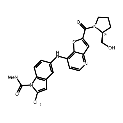 CNC(=O)n1c(C)cc2cc(Nc3ccnc4cc(C(=O)N5CCC[C@H]5CO)sc34)ccc21